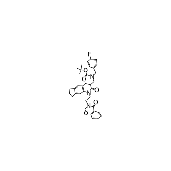 CC(C)(C)OC(=O)N(Cc1ccc(F)cc1)CC1Cc2cc3c(cc2N(CCN(C=O)C(=O)c2ccccc2)C1=O)CCC3